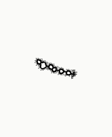 FC(F)(F)c1ccc(-c2ccc(-c3ccc4cc(/C5=C/C=c6/cccc/c6=C/CC5)ccc4c3)cc2)cc1